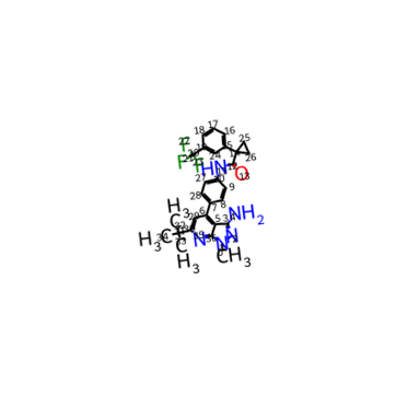 Cn1nc(N)c2c(-c3ccc(NC(=O)C4(c5cccc(C(F)(F)F)c5)CC4)cc3)cc(C(C)(C)C)nc21